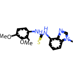 COc1ccc(NC(=S)Nc2cccc3c2ncn3C)c(OC)c1